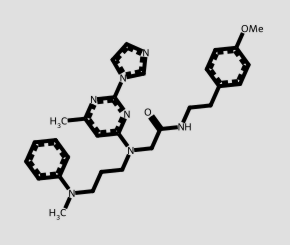 COc1ccc(CCNC(=O)CN(CCCN(C)c2ccccc2)c2cc(C)nc(-n3ccnc3)n2)cc1